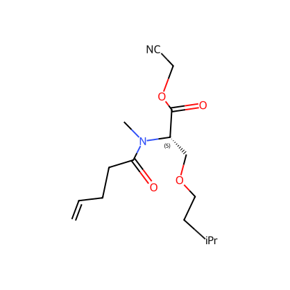 C=CCCC(=O)N(C)[C@@H](COCCC(C)C)C(=O)OCC#N